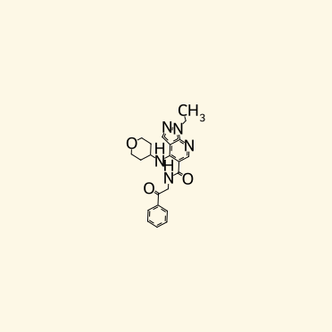 CCn1ncc2c(NC3CCOCC3)c(C(=O)NCC(=O)c3ccccc3)cnc21